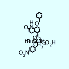 CC(C)(C)[Si](C)(C)O[C@@H](CN(CCc1ccc([N+](=O)[O-])cc1)C(=O)O)c1ccc(OCc2ccccc2)c2[nH]c(=O)ccc12